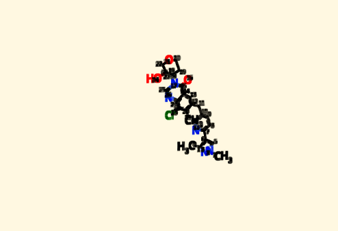 Cc1nn(C)cc1-c1ccc(Cc2cc3c(=O)n([C@H]4CCOC[C@@H]4O)cnc3c(Cl)c2C)cn1